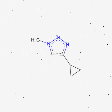 Cn1[c]c(C2CC2)nn1